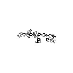 CC(C)c1ccccc1[C@@H]1CN(S(=O)(=O)C2CC2)CC[C@@H]1N1CC2(CCN(c3ccc(C(=O)NS(=O)(=O)c4cc5c(c([N+](=O)[O-])c4)N[C@@H]([C@H]4CC[C@](C)(O)CC4)CO5)c(Oc4cnc5[nH]cc(F)c5c4)c3)CC2)C1